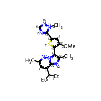 CCC(CC)c1cc(C)nn2c(-c3sc(-c4ncnn4C)cc3OC)c(C)nc12